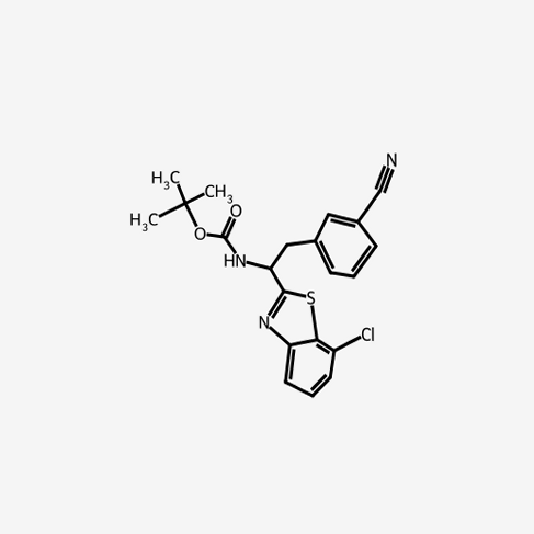 CC(C)(C)OC(=O)NC(Cc1cccc(C#N)c1)c1nc2cccc(Cl)c2s1